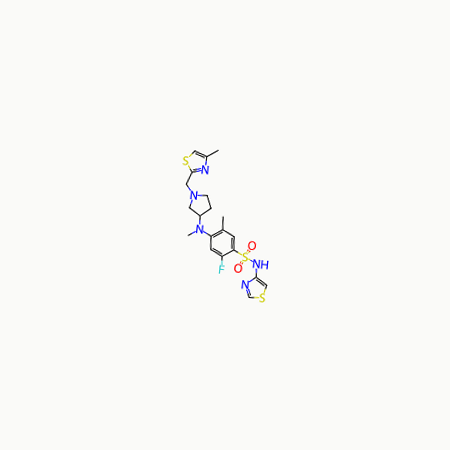 Cc1csc(CN2CCC(N(C)c3cc(F)c(S(=O)(=O)Nc4cscn4)cc3C)C2)n1